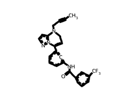 CC#CCN1CC=C(c2cccc(NC(=O)c3cccc(C(F)(F)F)c3)c2)n2nccc21